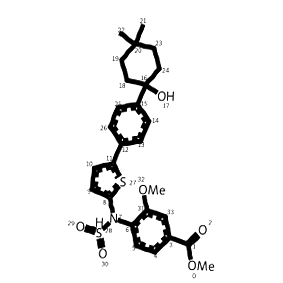 COC(=O)c1ccc(N(c2ccc(-c3ccc(C4(O)CCC(C)(C)CC4)cc3)s2)[SH](=O)=O)c(OC)c1